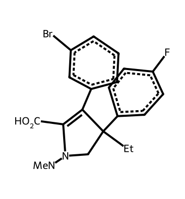 CCC1(c2ccc(F)cc2)CN(NC)C(C(=O)O)=C1c1cccc(Br)c1